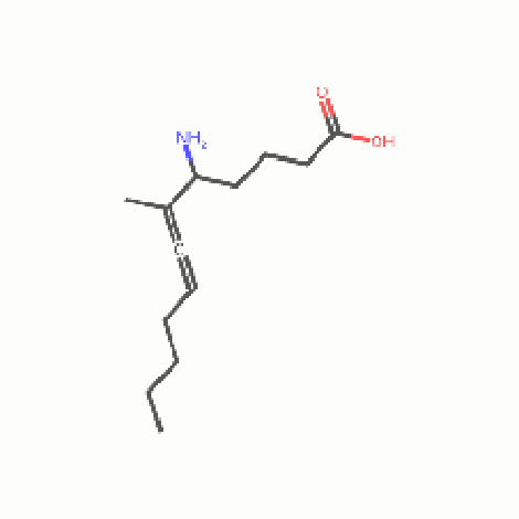 CCCCC=C=C(C)C(N)CCCC(=O)O